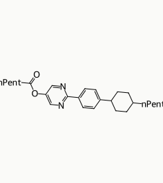 CCCCCC(=O)Oc1cnc(-c2ccc(C3CCC(CCCCC)CC3)cc2)nc1